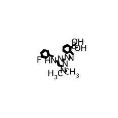 CN(C)c1cc(NCc2cccc(F)c2)nc(-n2ncc3c(B(O)O)cccc32)n1